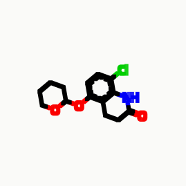 O=C1CCc2c(OC3CCCCO3)ccc(Cl)c2N1